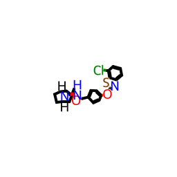 CC(=O)N1[C@@H]2CC[C@H]1CC(NCc1ccc(Oc3nc4cccc(Cl)c4s3)cc1)C2